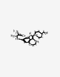 C[C@H](Nc1cc2c3c(c(N4CCC(CO)CC4)[nH]c3c1)NCCO2)C(N)=O